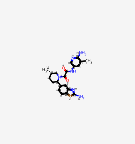 Cc1cc(NC(=O)C(=O)N2C[C@@H](C)CCC2c2ccc3sc(N)nc3c2)cnc1N